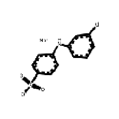 O=S(=O)([O-])c1ccc(Nc2cccc(Cl)c2)cc1.[Na+]